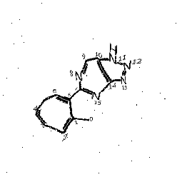 Cc1ccccc1-c1ncc2[nH]nnc2n1